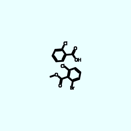 COC(=O)c1c(Cl)cccc1Br.O=C(O)c1ccccc1Cl